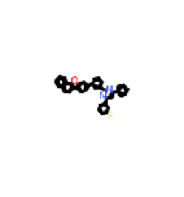 Fc1cccc(-c2cc(-c3ccccc3)nc(-c3cccc(-c4ccc5c(c4)oc4c6ccccc6ccc54)c3)n2)c1